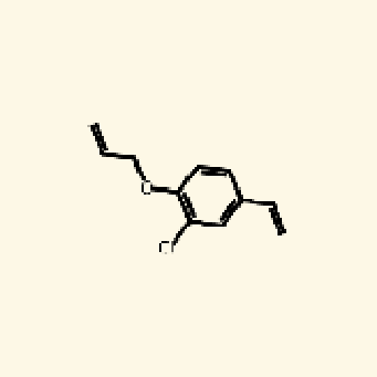 C=CCOc1ccc(C=C)cc1Cl